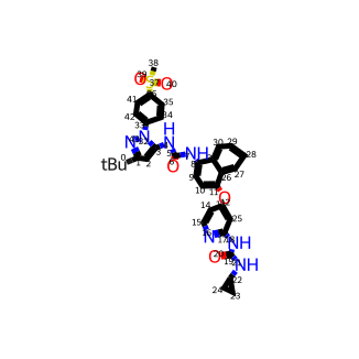 CC(C)(C)c1cc(NC(=O)Nc2ccc(Oc3ccnc(NC(=O)NC4CC4)c3)c3ccccc23)n(-c2ccc(S(C)(=O)=O)cc2)n1